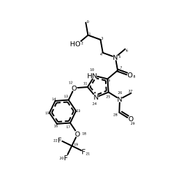 CC(O)CCN(C)C(=O)c1[nH]c(Oc2cccc(OC(F)(F)F)c2)nc1N(C)C=O